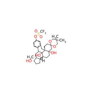 CC1(C)COC2(CC[C@@]34Cc5cc(OS(=O)(=O)C(F)(F)F)ccc5C5C[C@]6(C)[C@@H](O)CC[C@H]6[C@H](CC[C@@]3(O)C2)[C@]54O)OC1